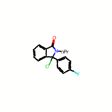 CCCN1C(=O)c2ccccc2C1(Cl)c1ccc(F)cc1